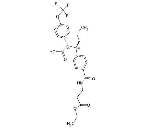 CCC[C@@H](c1ccc(C(=O)NCCC(=O)OCC)cc1)[C@H](C(=O)O)c1ccc(OC(F)(F)F)cc1